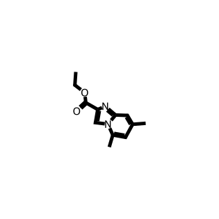 CCOC(=O)c1cn2c(C)cc(C)cc2n1